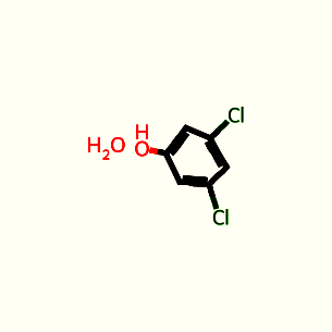 O.Oc1cc(Cl)cc(Cl)c1